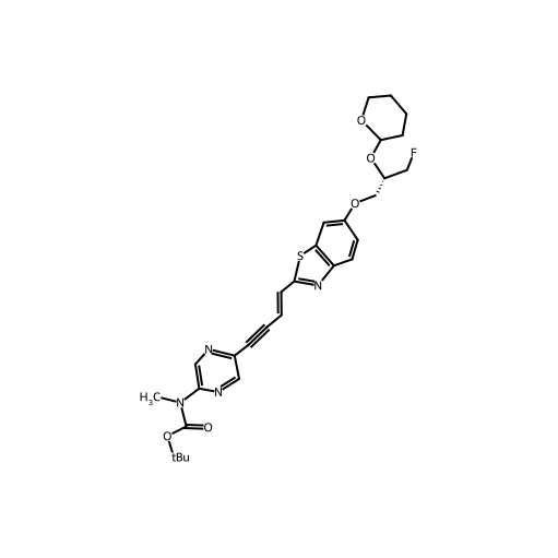 CN(C(=O)OC(C)(C)C)c1cnc(C#C/C=C/c2nc3ccc(OC[C@@H](CF)OC4CCCCO4)cc3s2)cn1